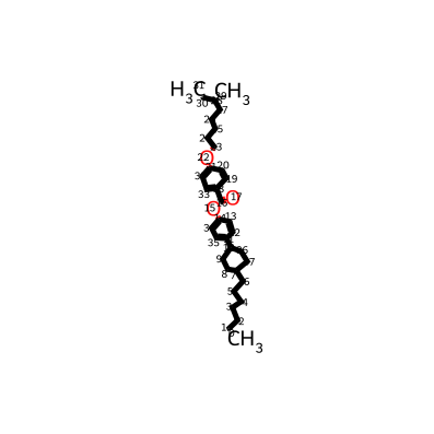 CCCCCCCC1CCC(c2ccc(OC(=O)c3ccc(OCCCCCC(C)CC)cc3)cc2)CC1